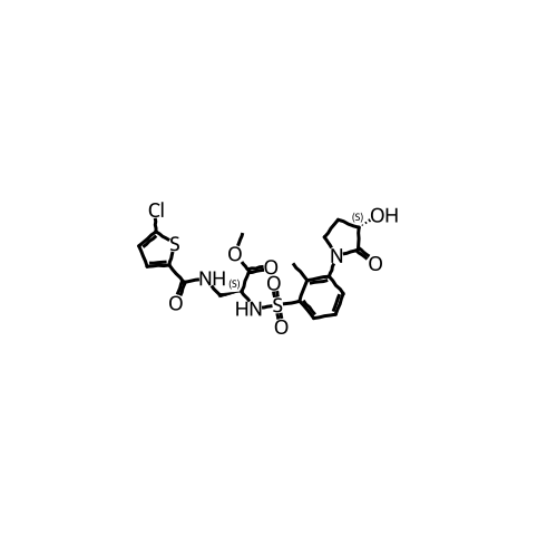 COC(=O)[C@H](CNC(=O)c1ccc(Cl)s1)NS(=O)(=O)c1cccc(N2CC[C@H](O)C2=O)c1C